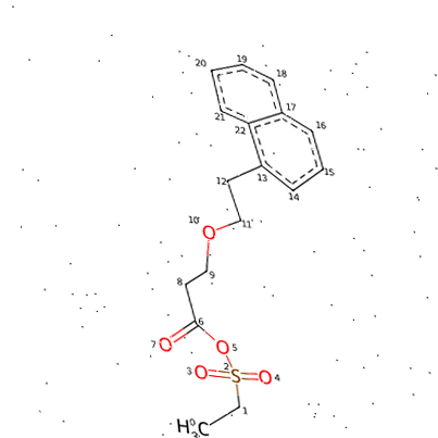 CCS(=O)(=O)OC(=O)CCOCCc1cccc2ccccc12